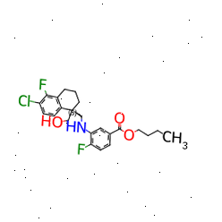 CCCCOC(=O)c1ccc(F)c(NC[C@]2(CO)CCCc3c2ccc(Cl)c3F)c1